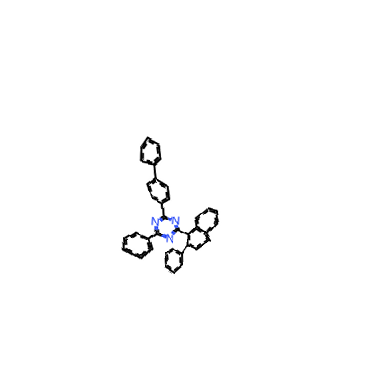 c1ccc(-c2ccc(-c3nc(-c4ccccc4)nc(-c4c(-c5ccccc5)ccc5ccccc45)n3)cc2)cc1